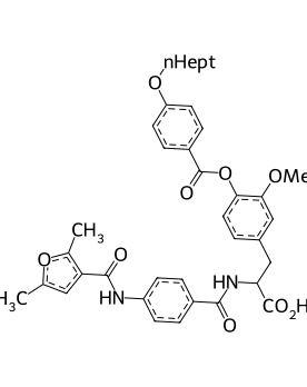 CCCCCCCOc1ccc(C(=O)Oc2ccc(CC(NC(=O)c3ccc(NC(=O)c4cc(C)oc4C)cc3)C(=O)O)cc2OC)cc1